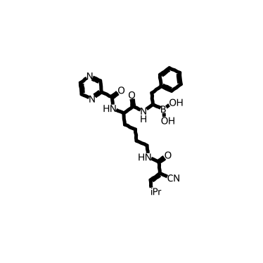 CC(C)C=C(C#N)C(=O)NCCCCC(NC(=O)c1cnccn1)C(=O)NC(Cc1ccccc1)B(O)O